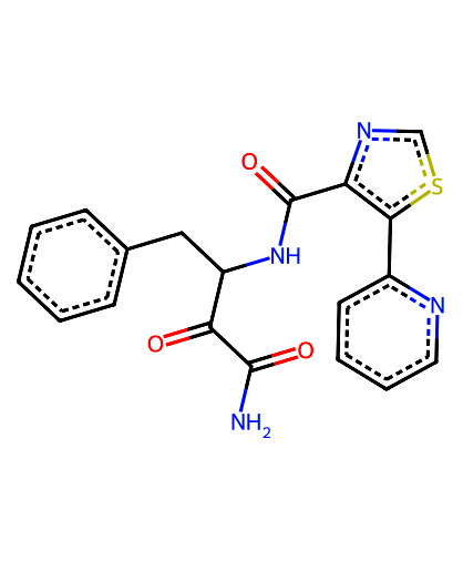 NC(=O)C(=O)C(Cc1ccccc1)NC(=O)c1ncsc1-c1ccccn1